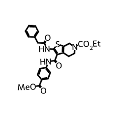 CCOC(=O)N1CCc2c(sc(NC(=O)Cc3ccccc3)c2C(=O)Nc2ccc(C(=O)OC)cc2)C1